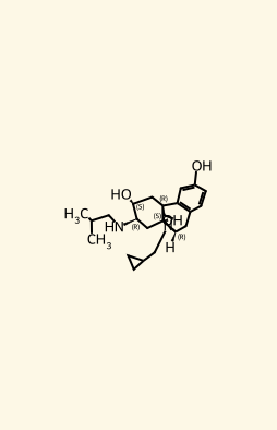 CC(C)CN[C@@H]1C[C@@]2(O)[C@H]3Cc4ccc(O)cc4[C@@]2(CCN3CC2CC2)C[C@@H]1O